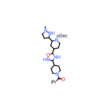 CCCCCCCCCCN1CCC(C2NC(C3CCN(C(=O)C(C)C)CC3)NO2)CC1C1CCN(C)N1